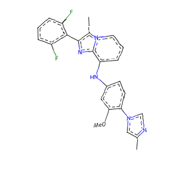 COc1cc(Nc2cccn3c(C)c(-c4c(F)cccc4F)nc23)ccc1-n1cnc(C)c1